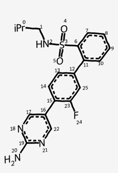 CC(C)CNS(=O)(=O)c1ccccc1-c1ccc(-c2cnc(N)nc2)c(F)c1